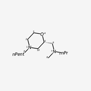 CCCCCN1CCO[C@H](CN(C)CCC)C1